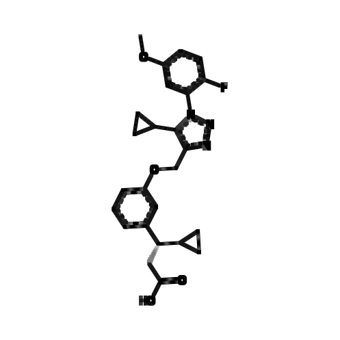 COc1ccc(F)c(-n2nnc(COc3cccc([C@@H](CC(=O)O)C4CC4)c3)c2C2CC2)c1